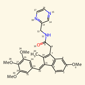 COc1ccc2c(c1)C(CC(=O)NCc1cnccn1)=C(C)C2=Cc1cc(OC)c(OC)c(OC)c1